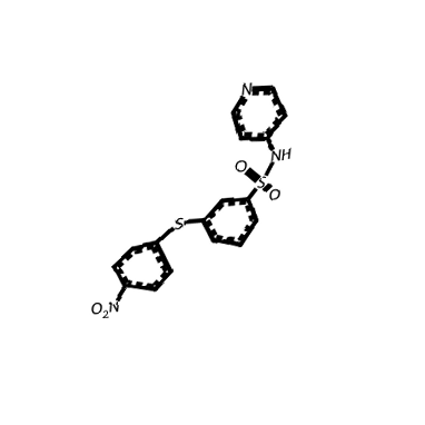 O=[N+]([O-])c1ccc(Sc2cccc(S(=O)(=O)Nc3ccncc3)c2)cc1